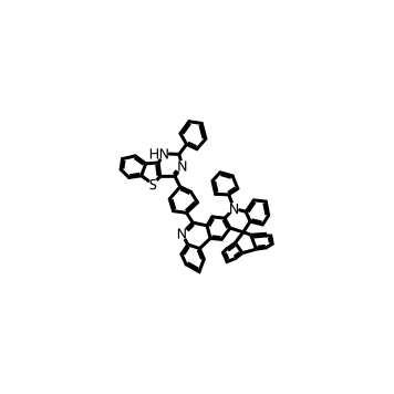 c1ccc(C2N=C(c3ccc(-c4nc5ccccc5c5cc6c(cc45)N(c4ccccc4)c4ccccc4C64c5ccccc5-c5ccccc54)cc3)c3sc4ccccc4c3N2)cc1